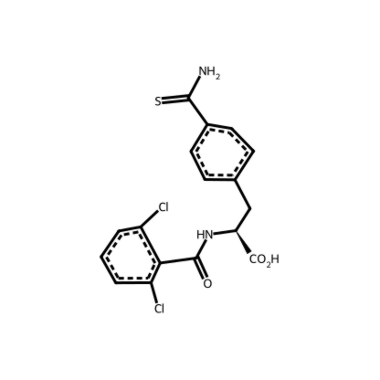 NC(=S)c1ccc(C[C@H](NC(=O)c2c(Cl)cccc2Cl)C(=O)O)cc1